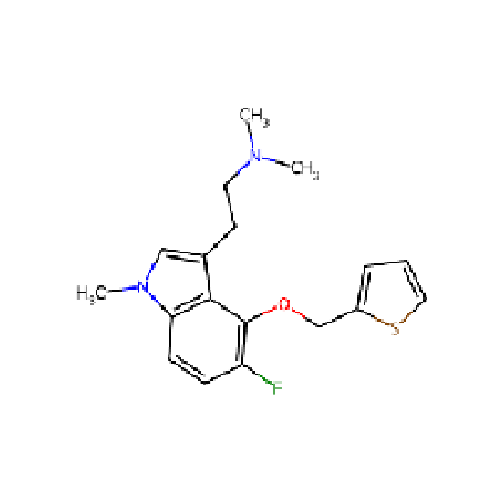 CN(C)CCc1cn(C)c2ccc(F)c(OCc3cccs3)c12